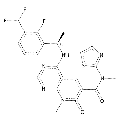 C[C@@H](Nc1ncnc2c1cc(C(=O)N(C)c1nccs1)c(=O)n2C)c1cccc(C(F)F)c1F